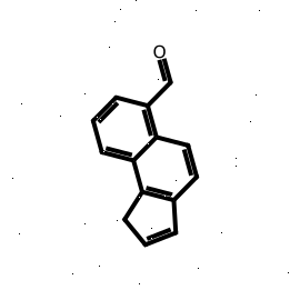 O=Cc1cccc2c3c(ccc12)C=CC3